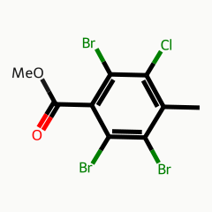 COC(=O)c1c(Br)c(Cl)c(C)c(Br)c1Br